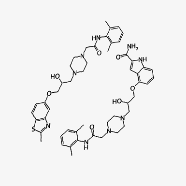 Cc1cccc(C)c1NC(=O)CN1CCN(CC(O)COc2cccc3[nH]c(C(N)=O)cc23)CC1.Cc1nc2cc(OCC(O)CN3CCN(CC(=O)Nc4c(C)cccc4C)CC3)ccc2s1